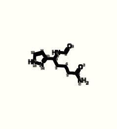 NC(=O)CCCC(NC=O)c1cc[nH]n1